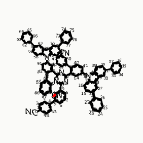 N#Cc1ccc(-c2cccc(-c3nc(-c4cc(-n5c6ccc(-c7ccccc7)cc6c6cc(-c7ccccc7)ccc65)ccc4-c4cccc(C#N)c4)nc(-c4cc(-n5c6ccc(-c7ccccc7)cc6c6cc(-c7ccccc7)ccc65)ccc4-c4cccc(C#N)c4)n3)c2)cc1